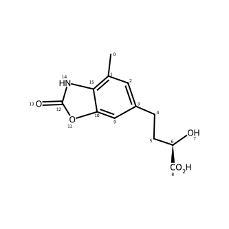 Cc1cc(CC[C@@H](O)C(=O)O)cc2oc(=O)[nH]c12